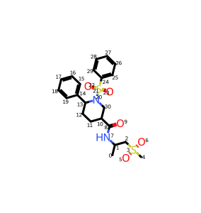 CC(CS(C)(=O)=O)NC(=O)C1CCC(c2ccccc2)N(S(=O)(=O)c2ccccc2)C1